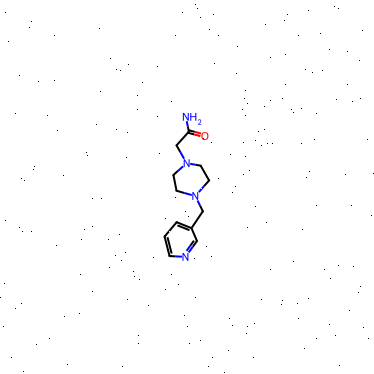 NC(=O)CN1CCN(Cc2cccnc2)CC1